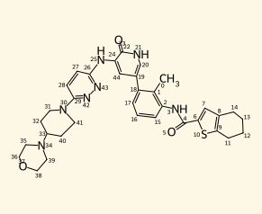 Cc1c(NC(=O)c2cc3c(s2)CCCC3)cccc1-c1c[nH]c(=O)c(Nc2ccc(N3CCC(N4CCOCC4)CC3)nn2)c1